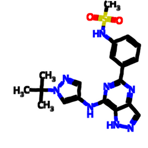 CC(C)(C)n1cc(Nc2nc(-c3cccc(NS(C)(=O)=O)c3)nc3cn[nH]c23)cn1